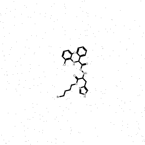 O=C(OCCCCBr)C(Cc1c[nH]cn1)NOC(=O)C(Nc1c(Cl)cccc1Cl)c1ccccc1